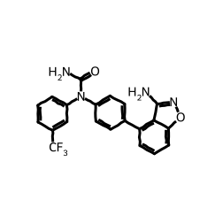 NC(=O)N(c1ccc(-c2cccc3onc(N)c23)cc1)c1cccc(C(F)(F)F)c1